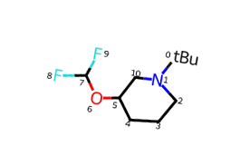 CC(C)(C)N1CCCC(OC(F)F)C1